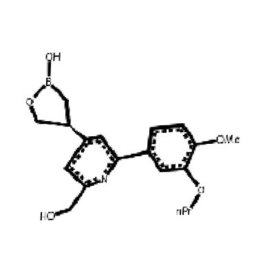 CCCOc1cc(-c2cc([C@H]3COB(O)C3)cc(CO)n2)ccc1OC